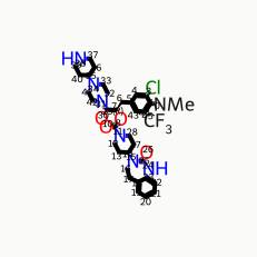 CNc1c(Cl)cc(C[C@@H](OC(=O)N2CCC(N3CCc4ccccc4NC3=O)CC2)C(=O)N2CCN(C3CCNCC3)CC2)cc1C(F)(F)F